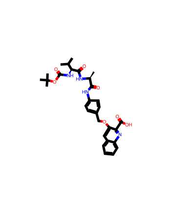 CC(C)[C@H](NC(=O)OC(C)(C)C)C(=O)N[C@@H](C)C(=O)Nc1ccc(COc2cc3ccccc3nc2C(=O)O)cc1